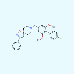 CCOc1cc(CN2CCC3(CC2)CC(c2ccccc2)=NO3)cc(OCC)c1-c1ccc(F)cc1